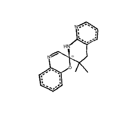 CC1(C)Cc2cccnc2N[C@@]12C=Nc1ccccc1O2